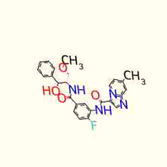 COC[C@H](NC(=O)c1ccc(F)c(NC(=O)c2cnc3cc(C)ccn23)c1)[C@@H](O)c1ccccc1